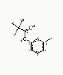 [CH2]c1cccc(OC(=O)C(C)(C)C)c1